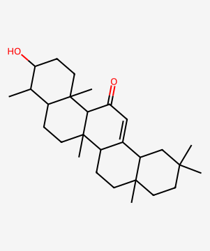 CC1C(O)CCC2(C)C1CCC1(C)C3CCC4(C)CCC(C)(C)CC4C3=CC(=O)C12